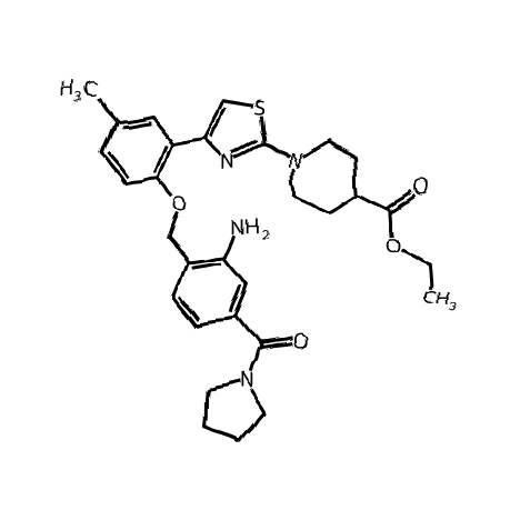 CCOC(=O)C1CCN(c2nc(-c3cc(C)ccc3OCc3ccc(C(=O)N4CCCC4)cc3N)cs2)CC1